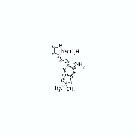 CC1(C)Cc2cc(N)c(OC[C@H]3CCCN3C(=O)O)cc2O1